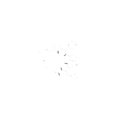 CC(C)[C@@H](CS(=O)(=O)C(C)(C)C)NC(=O)N[C@H](C(=O)N1CCC(C(C)(C)C)C1C(=O)NC(CC1CCC1)C(=O)C(N)=O)C1CCCCC1